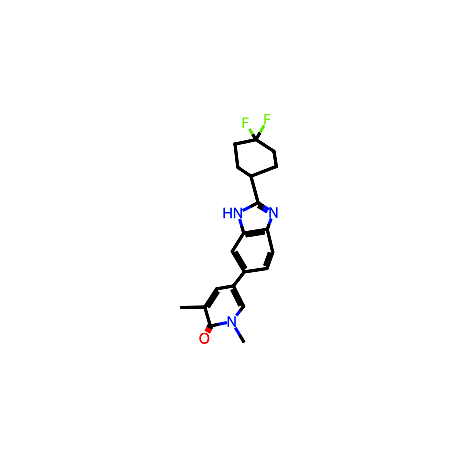 Cc1cc(-c2ccc3nc(C4CCC(F)(F)CC4)[nH]c3c2)cn(C)c1=O